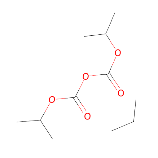 CC(C)OC(=O)OC(=O)OC(C)C.CCC